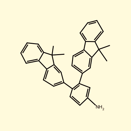 CC1(C)c2ccccc2-c2ccc(-c3ccc(N)cc3-c3ccc4c(c3)C(C)(C)c3ccccc3-4)cc21